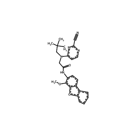 COc1c(NC(=O)CN(CC(C)(C)C)c2ccnc(C#N)n2)ccc2c1oc1ccccc12